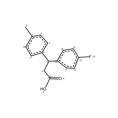 Cc1ccc(C(CC(=O)O)c2ccc(F)cc2)cc1